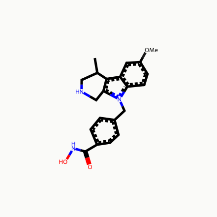 COc1ccc2c(c1)c1c(n2Cc2ccc(C(=O)NO)cc2)CNCC1C